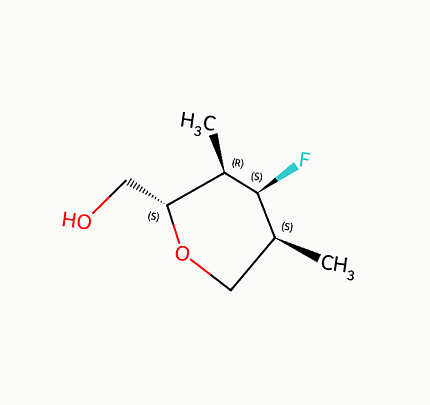 C[C@H]1[C@@H](F)[C@@H](C)CO[C@@H]1CO